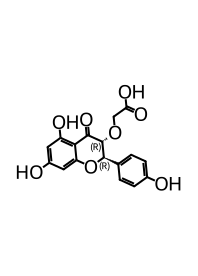 O=C(O)CO[C@H]1C(=O)c2c(O)cc(O)cc2O[C@@H]1c1ccc(O)cc1